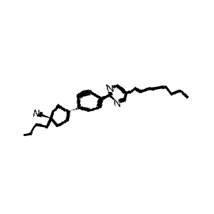 CCCCCCCCc1cnc(-c2ccc([C@H]3CC[C@@](C#N)(CCCC)CC3)cc2)nc1